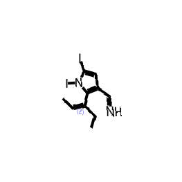 C/C=C(/CC)c1c(C=N)cc(I)n1I